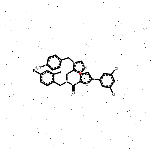 Nc1ccc(Cn2cnnc2CN(Cc2ccc(F)cc2F)C(=O)c2ccc(-c3cc(Cl)cc(Cl)c3)o2)cc1